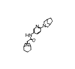 O=C(CN1C2CCCC1CC2)Nc1ccc(N2CC3CCC(C3)C2)nc1